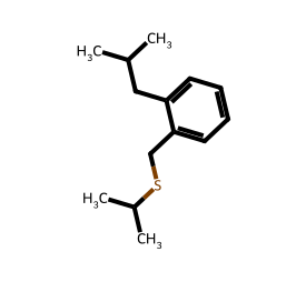 CC(C)Cc1ccccc1CSC(C)C